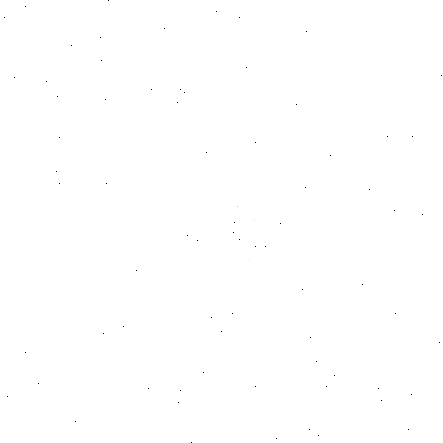 CC(C)(C)OC(=O)N1CCC(NCc2ccc(C(F)(F)F)cc2)(C(=O)O)C1